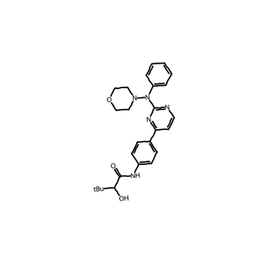 CC(C)(C)C(O)C(=O)Nc1ccc(-c2ccnc(N(c3ccccc3)N3CCOCC3)n2)cc1